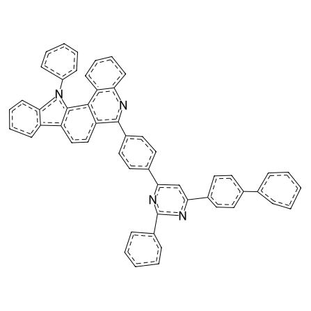 c1ccc(-c2ccc(-c3cc(-c4ccc(-c5nc6ccccc6c6c5ccc5c7ccccc7n(-c7ccccc7)c56)cc4)nc(-c4ccccc4)n3)cc2)cc1